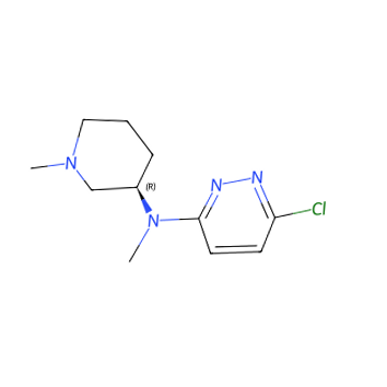 CN1CCC[C@@H](N(C)c2ccc(Cl)nn2)C1